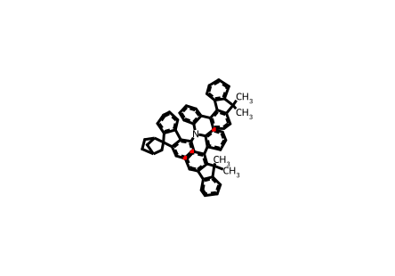 CC1(C)c2ccccc2-c2c(-c3ccccc3N(c3ccccc3-c3cccc4c3C(C)(C)c3ccccc3-4)c3cccc4c3-c3ccccc3C43CC4CCC3C4)cccc21